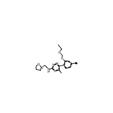 C#Cc1ccc(-c2nnc(NC[C@H]3CCCO3)nc2C)c(OCOCC)c1